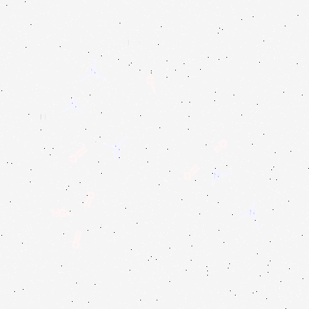 CCCN1CC2=C(C(=O)NC2c2cc(S(=O)(=O)N3CCN(CCCF)CC3)ccc2OCC)N(C)C1.CS(=O)(=O)O